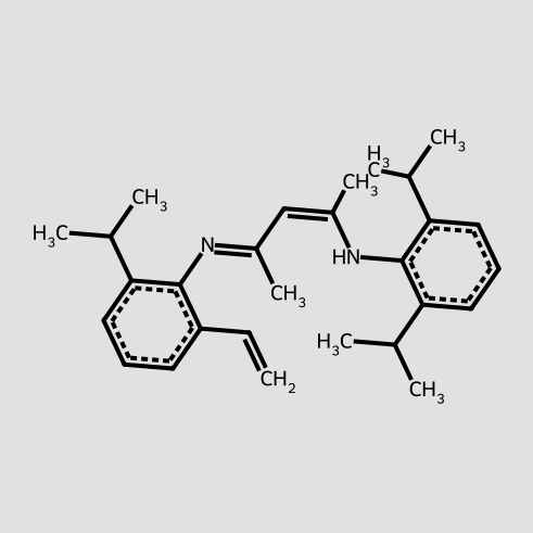 C=Cc1cccc(C(C)C)c1/N=C(C)/C=C(/C)Nc1c(C(C)C)cccc1C(C)C